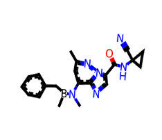 CB(Cc1ccccc1)N(C)c1cc(C)nn2c(C(=O)NC3(C#N)CC3)cnc12